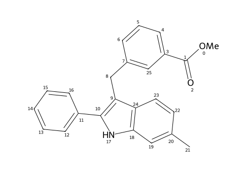 COC(=O)c1cccc(Cc2c(-c3ccccc3)[nH]c3cc(C)ccc23)c1